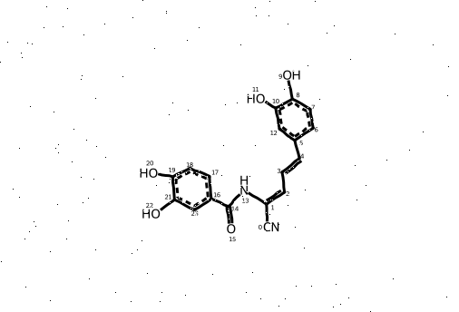 N#CC(=CC=Cc1ccc(O)c(O)c1)NC(=O)c1ccc(O)c(O)c1